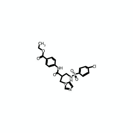 CCOC(=O)c1ccc(NC(=O)C(CNS(=O)(=O)c2ccc(Cl)cc2)Cn2ccnc2)cc1